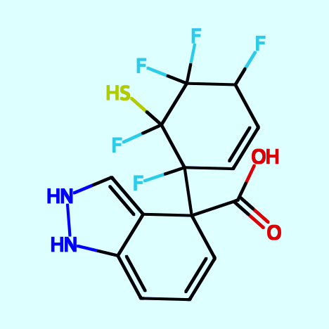 O=C(O)C1(C2(F)C=CC(F)C(F)(F)C2(F)S)C=CC=C2NNC=C21